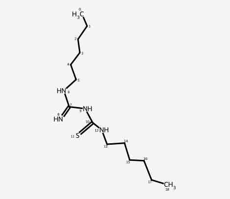 CCCCCCNC(=N)NC(=S)NCCCCCC